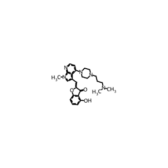 CN(C)CCCN1CCN(c2ccnc3c2c(/C=C2\Oc4cccc(O)c4C2=O)cn3C)CC1